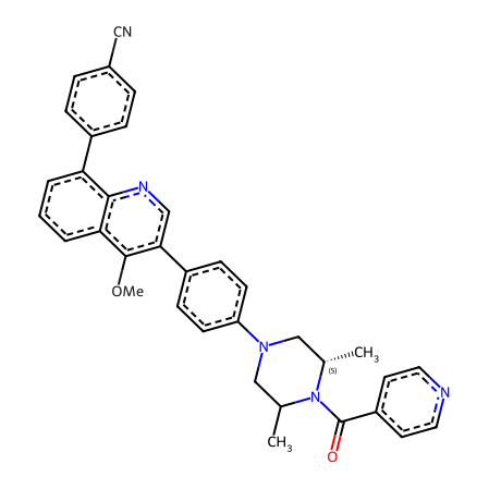 COc1c(-c2ccc(N3CC(C)N(C(=O)c4ccncc4)[C@@H](C)C3)cc2)cnc2c(-c3ccc(C#N)cc3)cccc12